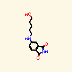 O=C1NC(=O)c2cc(NCCCCCO)ccc21